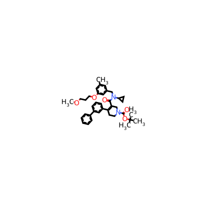 COCCCOc1cc(C)cc(CN(C(=O)C2=C(c3cccc(-c4ccccc4)c3)CCN(C(=O)OC(C)(C)C)C2)C2CC2)c1